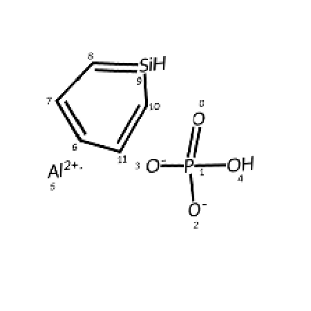 O=P([O-])([O-])O.[Al+2].c1cc[siH]cc1